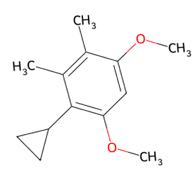 COc1cc(OC)c(C2CC2)c(C)c1C